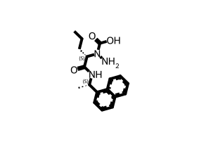 CCC[C@@H](C(=O)N[C@@H](C)c1cccc2ccccc12)N(N)C(=O)O